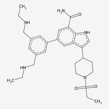 CCNCc1cc(CNCC)cc(-c2cc(C(N)=O)c3[nH]cc(C4CCN(S(=O)(=O)CC)CC4)c3c2)c1